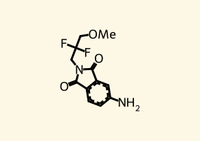 COCC(F)(F)CN1C(=O)c2ccc(N)cc2C1=O